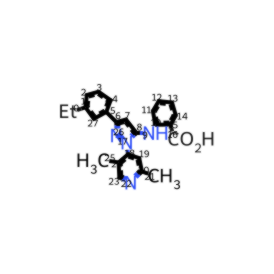 CCc1cccc(-c2cc(Nc3ccccc3C(=O)O)n(-c3cc(C)ncc3C)n2)c1